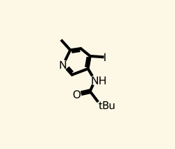 Cc1cc(I)c(NC(=O)C(C)(C)C)cn1